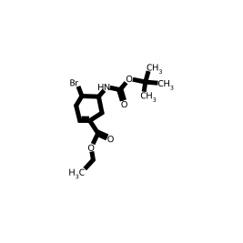 CCOC(=O)C1=CCC(Br)C(NC(=O)OC(C)(C)C)C1